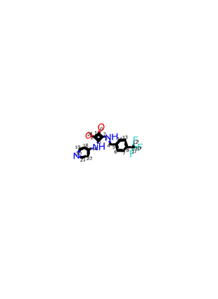 O=c1c(NCc2ccc(C(F)(F)F)cc2)c(Nc2ccncc2)c1=O